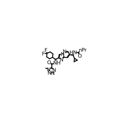 CCCC(=O)N[C@@H](c1cnn2cc([C@@H](NC(=O)c3nnnn3C)C3CCC(F)(F)CC3)nc2c1)C1CC1